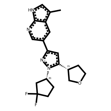 Cc1c[nH]c2ncc(-c3cc([C@@H]4CCOC4)n([C@@H]4CCC(F)(F)C4)n3)cc12